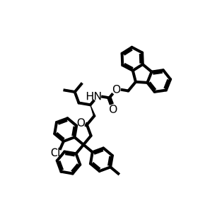 Cc1ccc(C(CC(=O)C[C@@H](CC(C)C)NC(=O)OCC2c3ccccc3-c3ccccc32)(c2ccccc2)c2ccccc2Cl)cc1